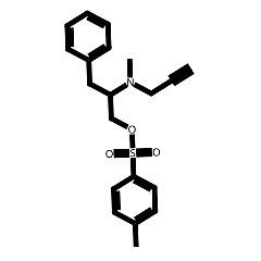 C#CCN(C)C(COS(=O)(=O)c1ccc(C)cc1)Cc1ccccc1